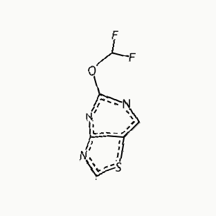 FC(F)Oc1ncc2s[c]nc2n1